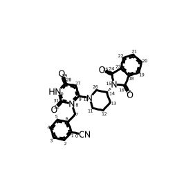 N#Cc1ccccc1Cn1c(N2CCC[C@@H](N3C(=O)c4ccccc4C3=O)C2)cc(=O)[nH]c1=O